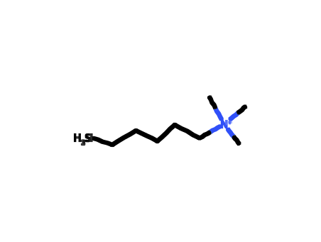 C[N+](C)(C)CCCCC[SiH3]